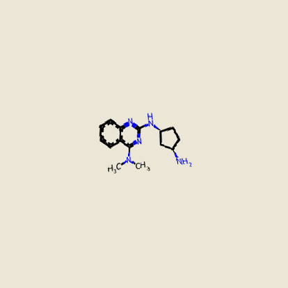 CN(C)c1nc(N[C@H]2CC[C@@H](N)C2)nc2ccccc12